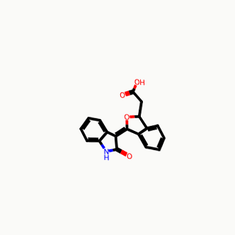 O=C(O)CC1O/C(=C2/C(=O)Nc3ccccc32)c2ccccc21